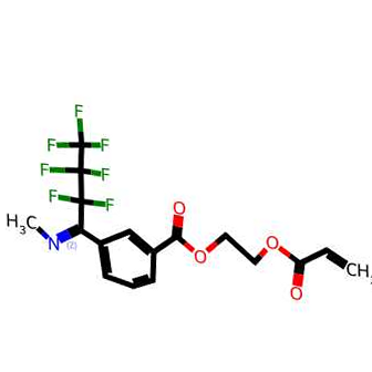 C=CC(=O)OCCOC(=O)c1cccc(/C(=N/C)C(F)(F)C(F)(F)C(F)(F)F)c1